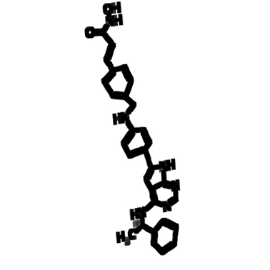 C[C@@H](Nc1ncnc2[nH]c(-c3ccc(NCc4ccc(C=CC(=O)NO)cc4)cc3)cc12)c1ccccc1